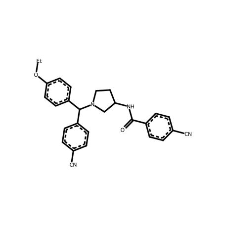 CCOc1ccc(C(c2ccc(C#N)cc2)N2CCC(NC(=O)c3ccc(C#N)cc3)C2)cc1